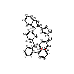 c1ccc(-c2ccccc2[C@H](c2cccc(Oc3cc(-c4nc5ccccc5s4)co3)c2)c2ccccn2)cc1